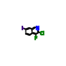 Fc1c(Cl)ncc2cc(I)ccc12